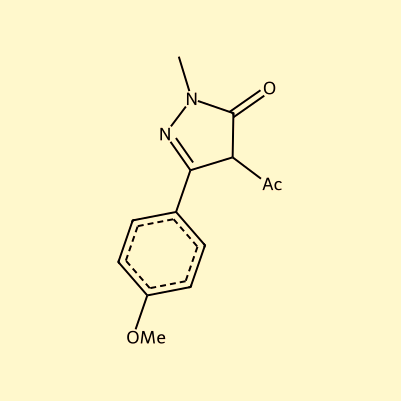 COc1ccc(C2=NN(C)C(=O)C2C(C)=O)cc1